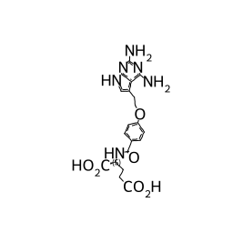 Nc1nc(N)c2c(CCOc3ccc(C(=O)N[C@@H](CCC(=O)O)C(=O)O)cc3)c[nH]c2n1